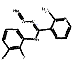 N=N/N=C(\Nc1cccc(F)c1F)c1cccnc1N